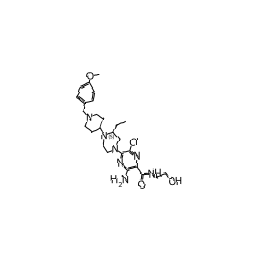 CC[C@H]1CN(c2nc(N)c(C(=O)NCCO)nc2Cl)CCN1C1CCN(Cc2ccc(OC)cc2)CC1